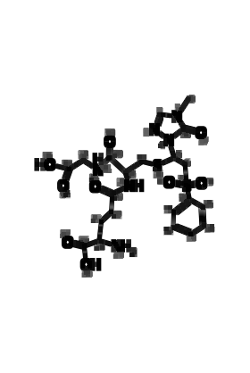 Cn1cnn(C(CS(=O)(=O)c2ccccc2)SCC(NC(=O)CCC(N)C(=O)O)C(=O)NCC(=O)O)c1=O